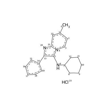 Cc1ccn2c(NC3CCCCC3)c(-c3ccccc3)nc2c1.Cl